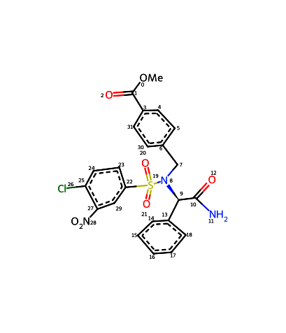 COC(=O)c1ccc(CN([C@@H](C(N)=O)c2ccccc2)S(=O)(=O)c2ccc(Cl)c([N+](=O)[O-])c2)cc1